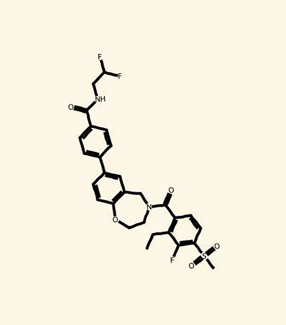 CCc1c(C(=O)N2CCOc3ccc(-c4ccc(C(=O)NCC(F)F)cc4)cc3C2)ccc(S(C)(=O)=O)c1F